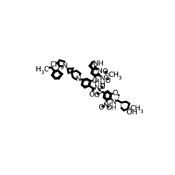 CC(C)c1ccccc1[C@H]1CCCN1C1CC2(CCN(c3ccc(C(=O)NS(=O)(=O)c4cc5c(c([N+](=O)[O-])c4)N[C@@H]([C@H]4CC[C@](C)(O)CC4)CO5)c(Oc4cc5cc[nH]c5nc4NS(C)(=O)=O)c3)CC2)C1